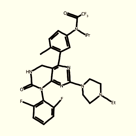 CCN1CCN(c2nc(-c3cc(N(C(=O)C(F)(F)F)C(C)C)ccc3C)c3c(n2)N(c2c(F)cccc2F)C(=O)NC3)CC1